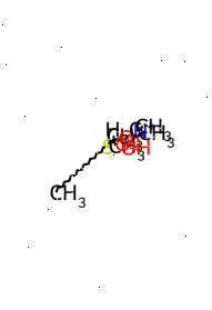 CCCCCCCCCCCCCCCCSCC(C)(C)COP(=O)(O)OCC[N+](C)(C)C